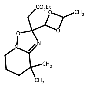 CCOC(=O)CC1(C2OC(C)O2)N=C2N(CCCC2(C)C)O1